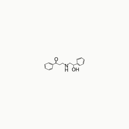 O=C(CCNCC(O)c1ccccc1)c1ccccc1